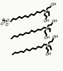 CCCCCCCCCCCC[N+](CC)(CCO)CCO.CCCCCCCCCCCC[N+](CC)(CCO)CCO.CCCCCCCCCCCC[N+](CC)(CCO)CCO.O=P([O-])([O-])[O-]